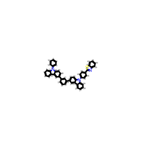 c1ccc(-n2c3ccccc3c3cc(-c4cccc(-c5ccc6c(c5)c5ccccc5n6-c5ccc(-c6nc7ccccc7s6)cc5)c4)ccc32)cc1